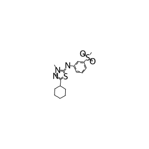 Cn1nc(C2CCCCC2)sc1=Nc1cccc(S(C)(=O)=O)c1